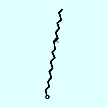 CCCCCC/C=C/CCCCCCCCCC[O]